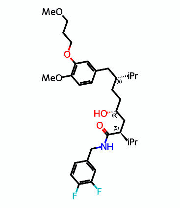 COCCCOc1cc(C[C@@H](CC[C@@H](O)C[C@H](C(=O)NCc2ccc(F)c(F)c2)C(C)C)C(C)C)ccc1OC